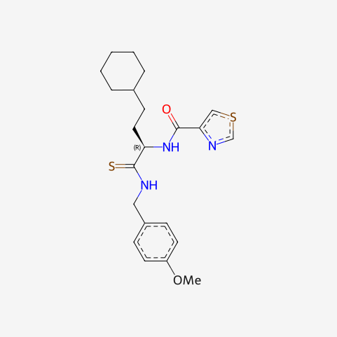 COc1ccc(CNC(=S)[C@@H](CCC2CCCCC2)NC(=O)c2cscn2)cc1